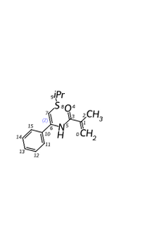 C=C(C)C(=O)N/C(=C\SC(C)C)c1ccccc1